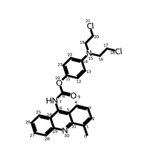 Cc1cccc2c(NC(=O)Oc3ccc(N(CCCl)CCCl)cc3)c3ccccc3nc12